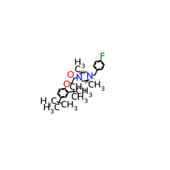 C[C@@H]1CN(C(=O)COc2ccc(C(C)(C)C)cc2C(C)(C)C)[C@@H](C)CN1Cc1ccc(F)cc1